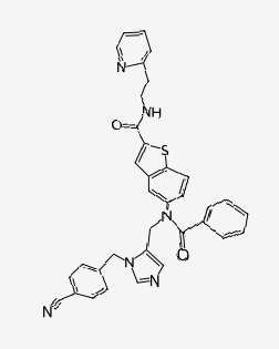 N#Cc1ccc(Cn2cncc2CN(C(=O)c2ccccc2)c2ccc3sc(C(=O)NCCc4ccccn4)cc3c2)cc1